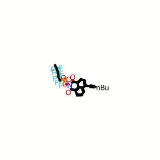 CCCCC#Cc1ccc2c3c(cccc13)C(=O)N(OS(=O)(=O)C(F)(F)C(F)(F)C(F)(F)C(C)(F)F)C2=O